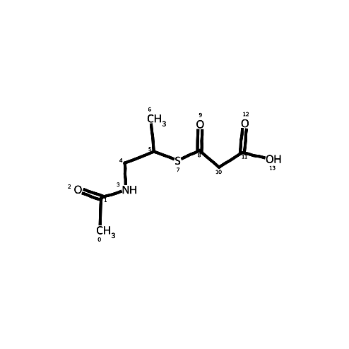 CC(=O)NCC(C)SC(=O)CC(=O)O